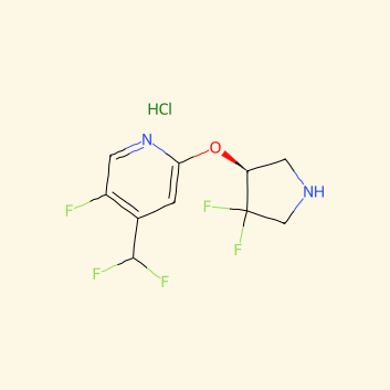 Cl.Fc1cnc(O[C@H]2CNCC2(F)F)cc1C(F)F